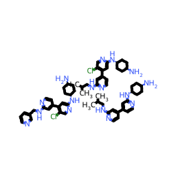 CC(C)CNc1cc(-c2cc(N[C@H]3CC[C@H](N)CC3)ncc2Cl)ccn1.CC(C)CNc1cc(-c2ccnc(N[C@H]3CC[C@H](N)CC3)c2)ccn1.N[C@H]1CC[C@H](Nc2cc(-c3ccnc(NCc4cccnc4)c3)c(Cl)cn2)CC1